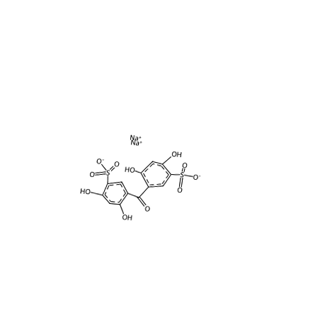 O=C(c1cc(S(=O)(=O)[O-])c(O)cc1O)c1cc(S(=O)(=O)[O-])c(O)cc1O.[Na+].[Na+]